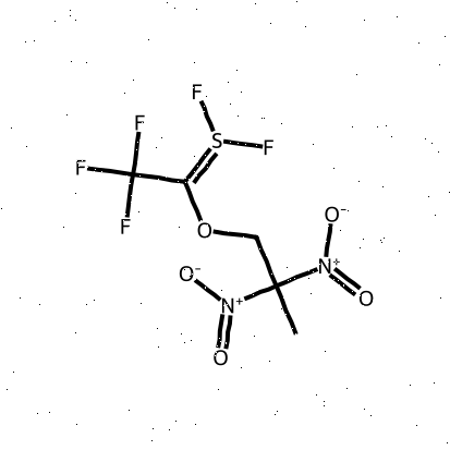 CC(COC(=S(F)F)C(F)(F)F)([N+](=O)[O-])[N+](=O)[O-]